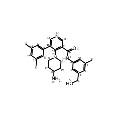 Cc1cc(CO)cc(NC(=O)c2cncc(-c3cc(C)cc(C)c3)c2N2CCC(N)CC2)c1